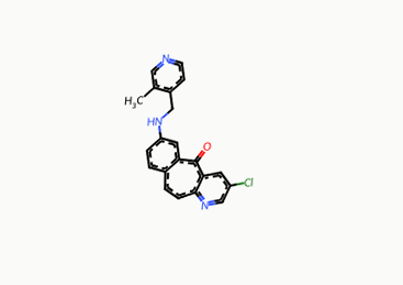 Cc1cnccc1CNc1ccc2ccc3ncc(Cl)cc3c(=O)c2c1